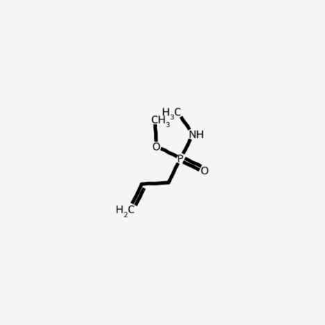 C=CCP(=O)(NC)OC